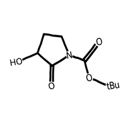 CC(C)(C)OC(=O)N1CCC(O)C1=O